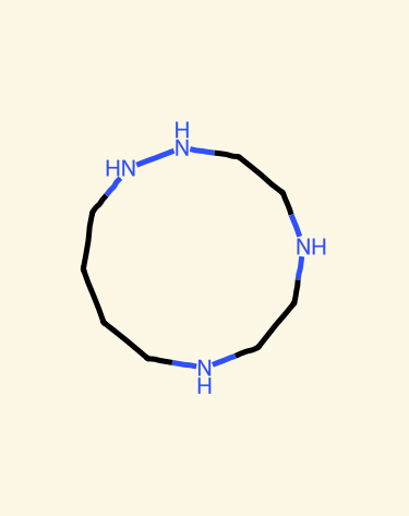 C1CCNNCCNCCNC1